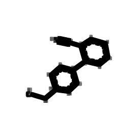 N#Cc1ccccc1-c1ccc(CCl)cc1